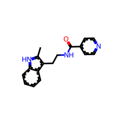 Cc1[nH]c2ccccc2c1CCNC(=O)c1ccncc1